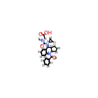 CN(CC(=O)O)C(=O)N(C1CC1)C1c2ccccc2N(C(=O)c2ccccc2)C2CCCC21